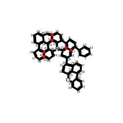 c1ccc(-c2ccc(-c3ccccc3N(c3cccc(-c4ccc5c6c(cccc46)-c4ccccc4O5)c3)c3ccccc3-c3cccc4cccc(-c5ccccc5)c34)cc2)cc1